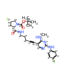 CNc1nc(Nc2ccc(F)cc2)ncc1C#CCCCNC(=O)[C@@H]1C[C@H](F)CN1C(=O)OC(C)(C)C